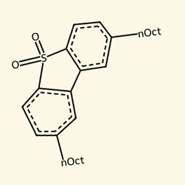 CCCCCCCCc1ccc2c(c1)-c1cc(CCCCCCCC)ccc1S2(=O)=O